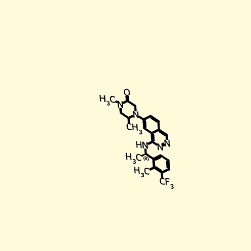 Cc1c([C@@H](C)Nc2nncc3ccc(N4CC(=O)N(C)CC4C)cc23)cccc1C(F)(F)F